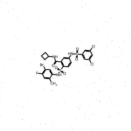 Cc1cc(F)c(Br)cc1NS(=O)(=O)c1ccc(NS(=O)(=O)c2cc(Cl)cc(Cl)c2)cc1C(=O)NC1CCC1